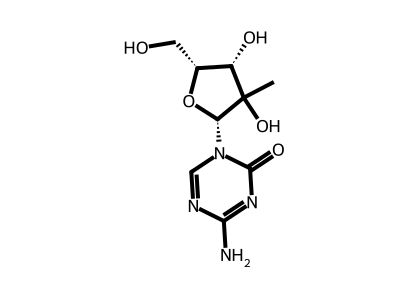 CC1(O)[C@@H](O)[C@@H](CO)O[C@H]1n1cnc(N)nc1=O